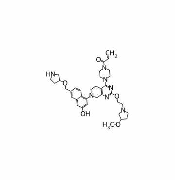 C=CC(=O)N1CCN(c2nc(OCCN3CCC(OC)C3)nc3c2CCN(c2cc(O)cc4cc(COC5CCNC5)ccc24)C3)CC1